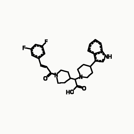 O=C(O)C(C1CCN(C(=O)C=Cc2cc(F)cc(F)c2)CC1)N1CCC(c2c[nH]c3ccccc23)CC1